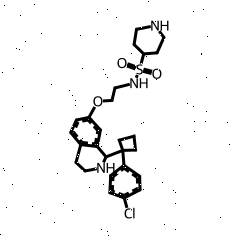 O=S(=O)(NCCOc1ccc2c(c1)C(C1(c3ccc(Cl)cc3)CCC1)NCC2)C1CCNCC1